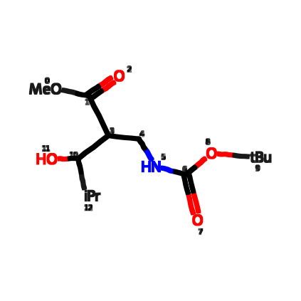 COC(=O)C(CNC(=O)OC(C)(C)C)C(O)C(C)C